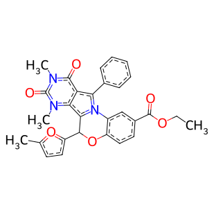 CCOC(=O)c1ccc2c(c1)-n1c(-c3ccccc3)c3c(=O)n(C)c(=O)n(C)c3c1C(c1ccc(C)o1)O2